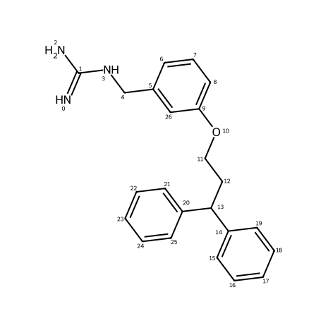 N=C(N)NCc1cccc(OCCC(c2ccccc2)c2ccccc2)c1